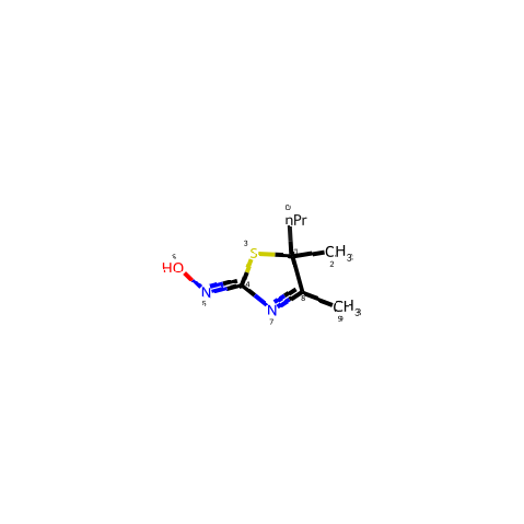 CCCC1(C)SC(=NO)N=C1C